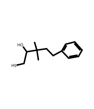 CC(C)(CCc1ccccc1)C(O)CS